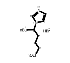 Br.CCCCCCCCCCCC(CCCC)n1ccnc1